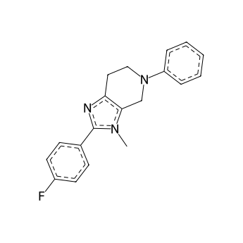 Cn1c(-c2ccc(F)cc2)nc2c1CN(c1ccccc1)CC2